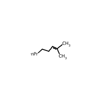 CC[CH]CCC=C(C)C